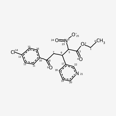 CCOC(=O)C(C(CC(=O)c1ccc(Cl)cc1)c1cccnc1)[N+](=O)[O-]